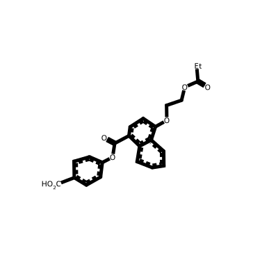 CCC(=O)OCCOc1ccc(C(=O)Oc2ccc(C(=O)O)cc2)c2ccccc12